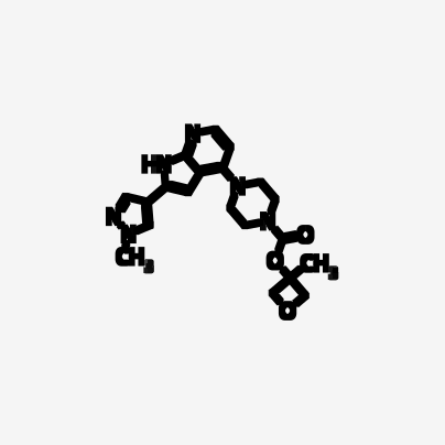 Cn1cc(-c2cc3c(N4CCN(C(=O)OC5(C)COC5)CC4)ccnc3[nH]2)cn1